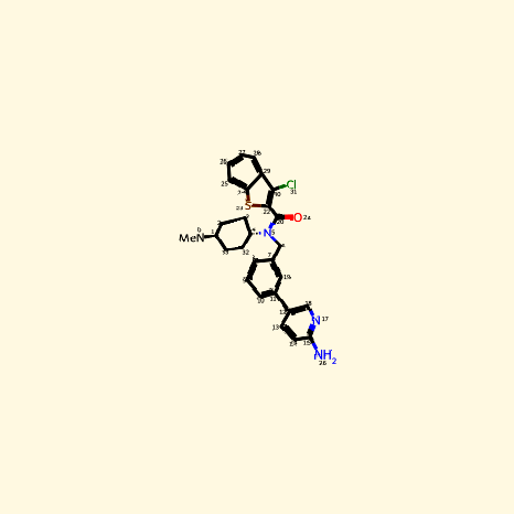 CN[C@H]1CC[C@H](N(Cc2cccc(-c3ccc(N)nc3)c2)C(=O)c2sc3ccccc3c2Cl)CC1